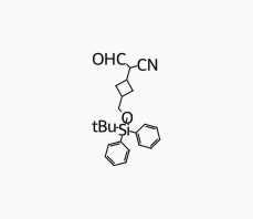 CC(C)(C)[Si](OCC1CC(C(C#N)C=O)C1)(c1ccccc1)c1ccccc1